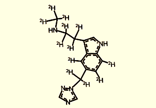 [2H]c1c(C([2H])([2H])n2cncn2)c([2H])c2c(C([2H])([2H])C([2H])([2H])NC([2H])([2H])[2H])c[nH]c2c1[2H]